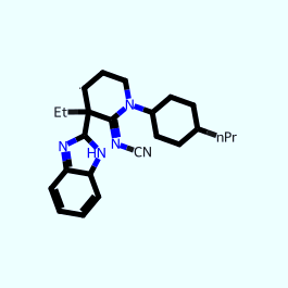 CCCC1CCC(N2CC[CH]C(CC)(C3N=C4C=CC=CC4N3)C2=NC#N)CC1